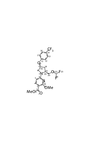 COC(=O)c1ccc(N2C[C@@H](Oc3ccc(C(F)(F)F)cc3)C[C@H]2COC(F)F)nc1OC